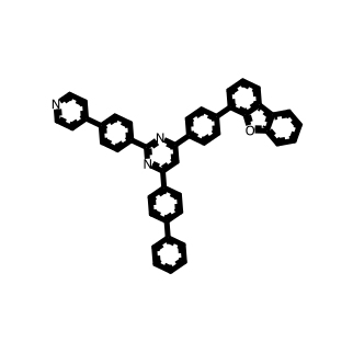 c1ccc(-c2ccc(-c3cc(-c4ccc(-c5cccc6c5oc5ccccc56)cc4)nc(-c4ccc(-c5ccncc5)cc4)n3)cc2)cc1